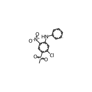 CS(=O)(=O)c1cc([N+](=O)[O-])c(Nc2c[c]ccc2)cc1Cl